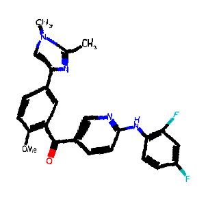 COc1ccc(-c2cn(C)c(C)n2)cc1C(=O)c1ccc(Nc2ccc(F)cc2F)nc1